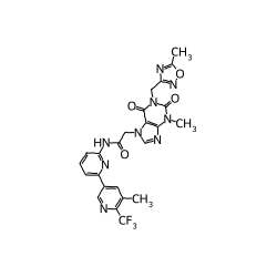 Cc1nc(Cn2c(=O)c3c(ncn3CC(=O)Nc3cccc(-c4cnc(C(F)(F)F)c(C)c4)n3)n(C)c2=O)no1